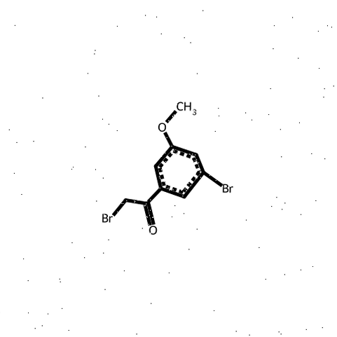 COc1cc(Br)cc(C(=O)CBr)c1